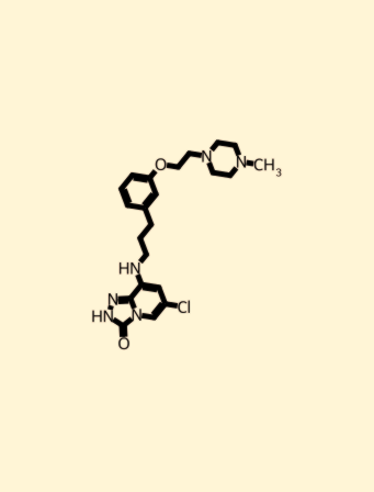 CN1CCN(CCOc2cccc(CCCNc3cc(Cl)cn4c(=O)[nH]nc34)c2)CC1